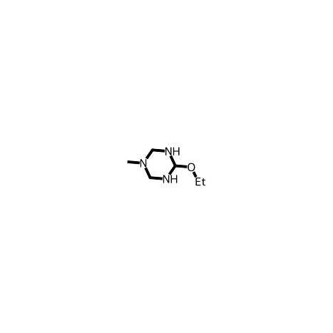 CCOC1NCN(C)CN1